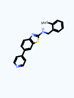 CSc1ccccc1CNc1nc2ccc(-c3ccncc3)cc2s1